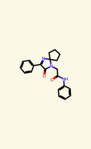 O=C(CN1C(=O)C(c2ccccc2)=NC12CCCC2)Nc1ccccc1